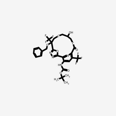 CC(C)(C)OC(=O)Nc1cc(C(F)(F)F)c2nc1-c1nnc(o1)C(OCc1ccccc1)(C(F)(F)F)CCCC(O)CCC2=O